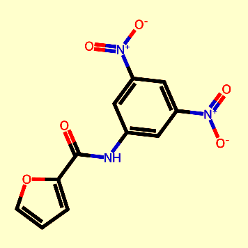 O=C(Nc1cc([N+](=O)[O-])cc([N+](=O)[O-])c1)c1ccco1